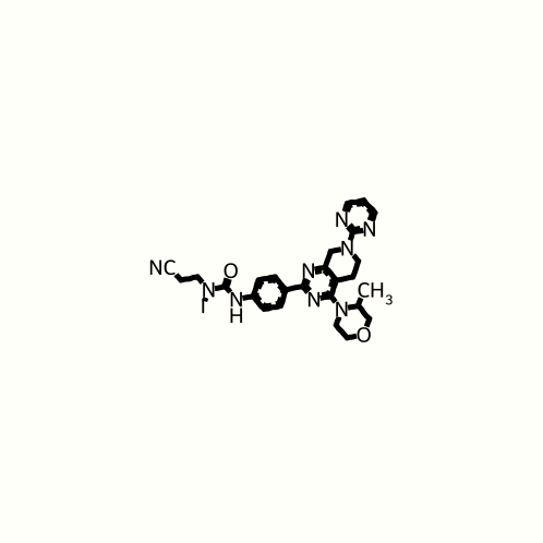 CC1COCCN1c1nc(-c2ccc(NC(=O)N(I)CCC#N)cc2)nc2c1CCN(c1ncccn1)C2